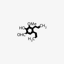 C=CCc1c(/C=C\C)cc(C=O)c(O)c1OC